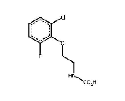 O=C(O)NCCOc1c(F)cccc1Cl